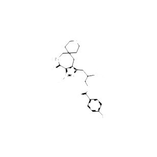 CCn1nc(CC(C)COC(=O)c2ccc(F)cc2)c2c1C(=O)NCC1(CCOCC1)C2